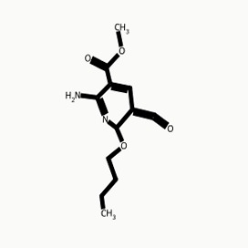 CCCCOC1N=C(N)C(C(=O)OC)=CC1=C=O